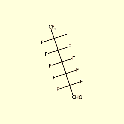 O=CC(F)(F)C(F)(F)C(F)(F)C(F)(F)C(F)(F)C(F)(F)F